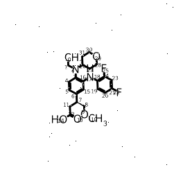 CCN(c1ccc([C@@H](COC)CC(=O)O)cc1Nc1ccc(F)cc1F)C1CCOCC1